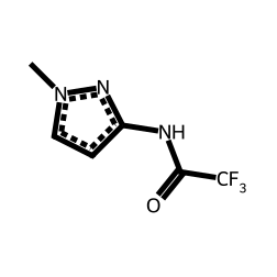 Cn1ccc(NC(=O)C(F)(F)F)n1